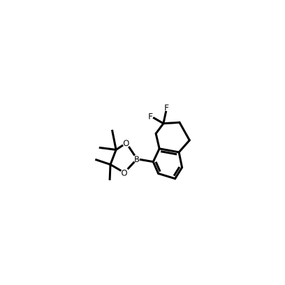 CC1(C)OB(c2cccc3c2CC(F)(F)CC3)OC1(C)C